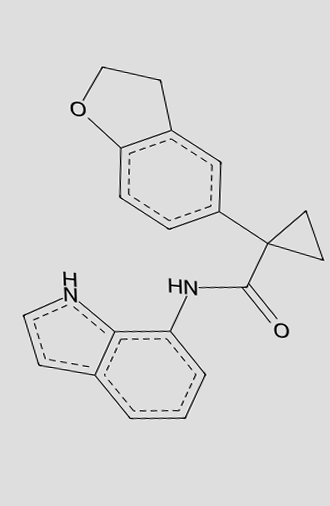 O=C(Nc1cccc2cc[nH]c12)C1(c2ccc3c(c2)CCO3)CC1